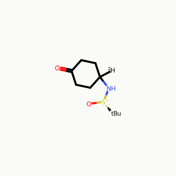 [2H]C1(N[S@+]([O-])C(C)(C)C)CCC(=O)CC1